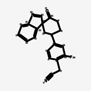 N#CCc1ccc(C2CCC(=O)C3(C=Nc4ccccc43)C2)cc1F